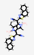 Bn1c(C)c2/c(=C(\C#N)c3nc4c(ccc5ccccc54)s3)n(B)c(CC)c2/c1=C(\C#N)c1nc2c(ccc3ccccc32)s1